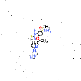 C=S(N)(=O)c1ccc(OC(C)C)c(Nc2nc(-c3ccc(N4CCn5ccnc5C4)nc3)cs2)c1